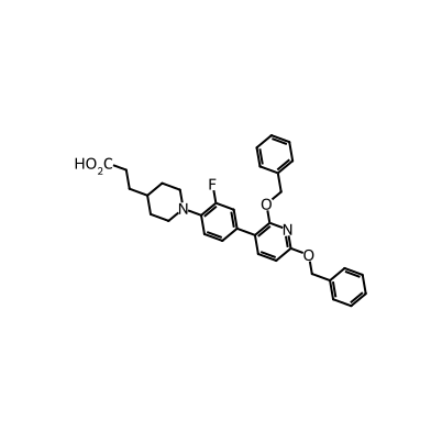 O=C(O)CCC1CCN(c2ccc(-c3ccc(OCc4ccccc4)nc3OCc3ccccc3)cc2F)CC1